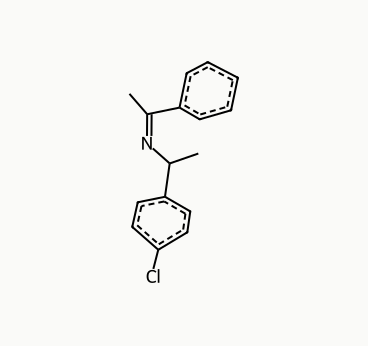 CC(=NC(C)c1ccc(Cl)cc1)c1ccccc1